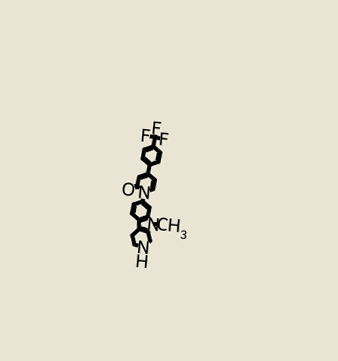 Cn1c2c(c3ccc(-n4ccc(-c5ccc(C(F)(F)F)cc5)cc4=O)cc31)CCNC2